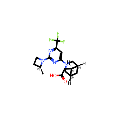 C[C@H]1CCN1c1nc(N2C[C@H]3C[C@@H](C2)[C@@H]3CC(=O)O)cc(C(F)(F)F)n1